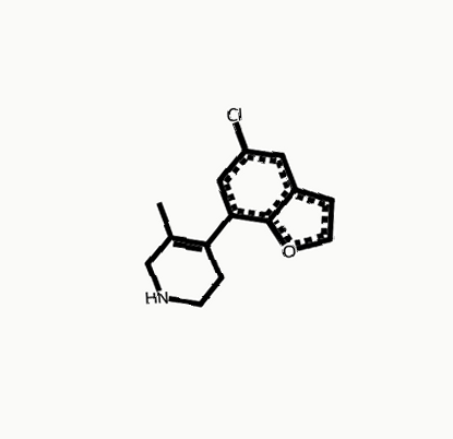 CC1=C(c2cc(Cl)cc3ccoc23)CCNC1